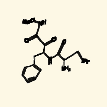 CONC(=O)C(=O)C(Cc1ccccc1)NC(=O)[C@@H](N)CC(C)C